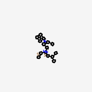 c1ccc(-c2cc(-c3ccccc3)cc(-c3ccc4sc5c(-c6ccc7sc8ccccc8c7c6)nc(-c6cccc(-c7cccc8c7c7cc(-c9ccccc9)ccc7n8-c7ccc8c(c7)C7(c9ccccc9-c9ccccc97)c7ccccc7-8)c6)nc5c4c3)c2)cc1